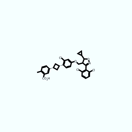 Cc1ccc([C@H]2C[C@@H](c3ccc(OCC4C(c5c(Cl)cccc5Cl)=NOC4C4CC4)cc3Cl)C2)cc1C(=O)O